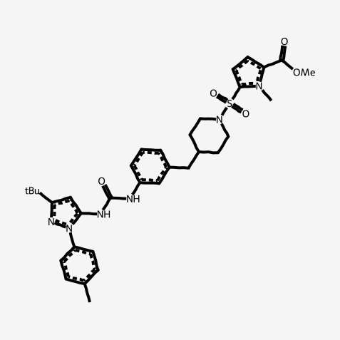 COC(=O)c1ccc(S(=O)(=O)N2CCC(Cc3cccc(NC(=O)Nc4cc(C(C)(C)C)nn4-c4ccc(C)cc4)c3)CC2)n1C